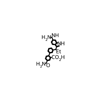 CCC(c1cccc(-c2ccc(C(N)=O)cc2C(=O)O)c1)c1c[nH]c2cc(C(=N)N)ccc12